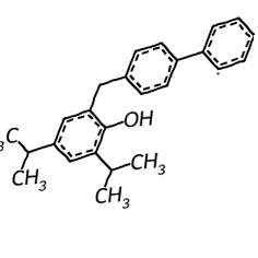 CC(C)c1cc(Cc2ccc(-c3[c]cccc3)cc2)c(O)c(C(C)C)c1